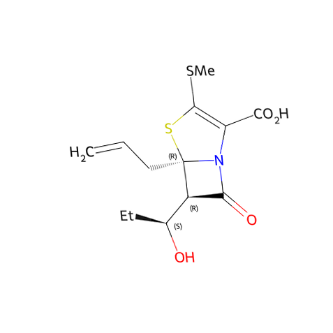 C=CC[C@]12SC(SC)=C(C(=O)O)N1C(=O)[C@H]2[C@@H](O)CC